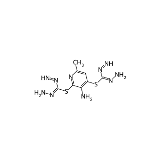 Cc1cc(SC(N=N)=NN)c(N)c(SC(N=N)=NN)n1